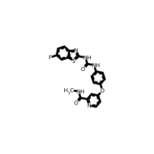 CNC(=O)c1cc(Oc2ccc(NC(=O)Nc3nc4ccc(F)cc4s3)cc2)ccn1